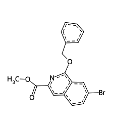 COC(=O)c1cc2ccc(Br)cc2c(OCc2ccccc2)n1